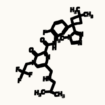 CC(C)CNCc1cn(CC(F)(F)F)c(=O)c(C(=O)Nc2cc(C3(c4nncn4C)CC(C)(C)C3)ccc2F)n1